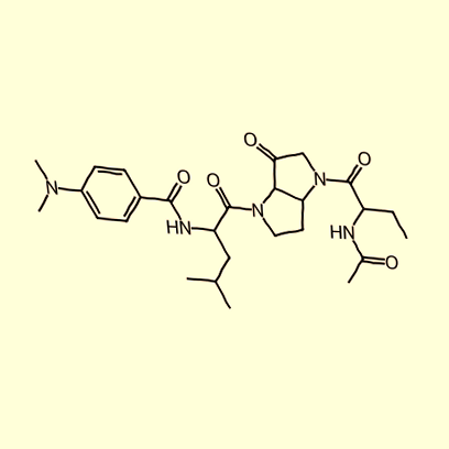 CCC(NC(C)=O)C(=O)N1CC(=O)C2C1CCN2C(=O)C(CC(C)C)NC(=O)c1ccc(N(C)C)cc1